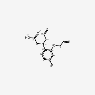 C=CCOc1cc(F)ccc1N(CC=C)CC(=O)O